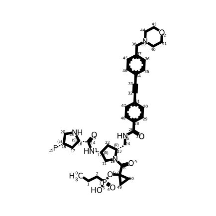 CCCP(=O)(O)OC1(C(=O)N2C[C@H](NC(=O)[C@@H]3C[C@H](F)CN3)C[C@@H]2CNC(=O)c2ccc(C#Cc3ccc(CN4CCOCC4)cc3)cc2)CC1